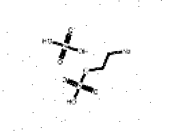 O=S(=O)(O)O.O=S(=O)(O)OC[CH2][Na]